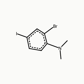 CN(C)c1ccc(I)cc1Br